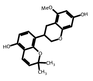 COc1cc(O)cc2c1CC(c1ccc(O)c3c1OC(C)(C)C=C3)CO2